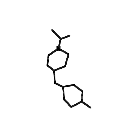 CC1CCC(CC2CCN(C(C)C)CC2)CC1